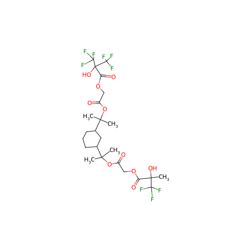 CC(C)(OC(=O)COC(=O)C(C)(O)C(F)(F)F)C1CCCC(C(C)(C)OC(=O)COC(=O)C(O)(C(F)(F)F)C(F)(F)F)C1